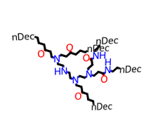 CCCCCCCCCCCCCC(=O)CCN(CCNCCN(CCC(=O)CCCCCCCCCCCCC)CCN(CCC(=O)NCCCCCCCCCCCC)CCC(=O)NCCCCCCCCCCCC)CCC(=O)CCCCCCCCCCCCC